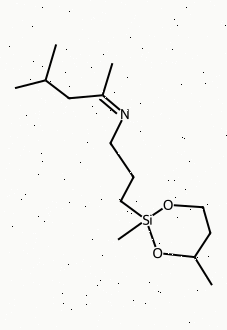 CC(CC(C)C)=NCCC[Si]1(C)OCCC(C)O1